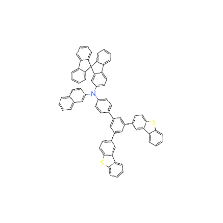 c1ccc2c(c1)-c1ccccc1C21c2ccccc2-c2ccc(N(c3ccc(-c4cc(-c5ccc6sc7ccccc7c6c5)cc(-c5ccc6sc7ccccc7c6c5)c4)cc3)c3ccc4ccccc4c3)cc21